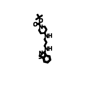 CC(C)(C)OC(=O)N1CCC(NCCCNc2nsc3ccccc23)CC1